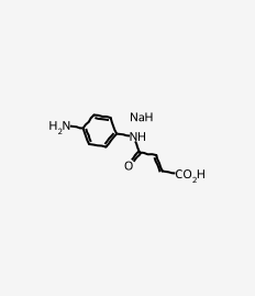 Nc1ccc(NC(=O)C=CC(=O)O)cc1.[NaH]